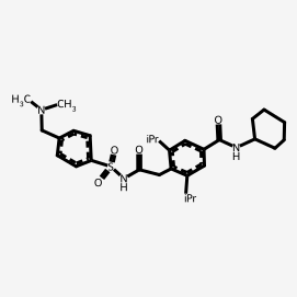 CC(C)c1cc(C(=O)NC2CCCCC2)cc(C(C)C)c1CC(=O)NS(=O)(=O)c1ccc(CN(C)C)cc1